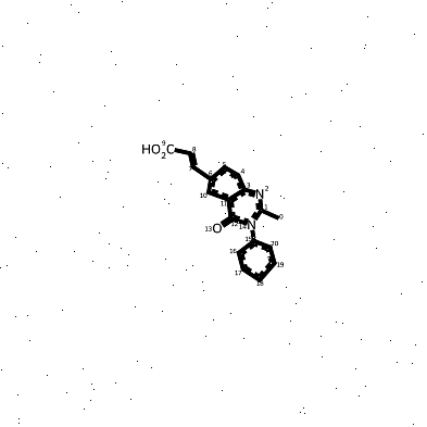 Cc1nc2ccc(C=CC(=O)O)cc2c(=O)n1-c1ccccc1